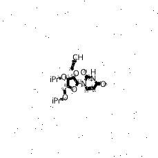 C#CCOC1[C@@H](OC(C)C)[C@@H](COC(C)C)O[C@H]1n1ccc(=O)[nH]c1=O